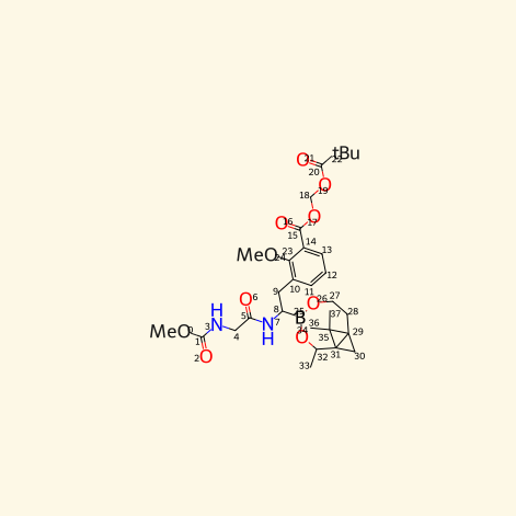 COC(=O)NCC(=O)NC(Cc1cccc(C(=O)OCOC(=O)C(C)(C)C)c1OC)B1OCCC23CC2(C(C)O1)C3(C)C